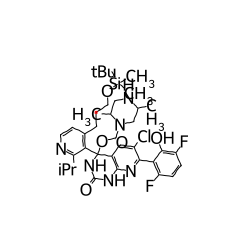 CC1CN(C(=O)OC2(c3c(CCCO[Si](C)(C)C(C)(C)C)ccnc3C(C)C)NC(=O)Nc3nc(-c4c(F)ccc(F)c4O)c(Cl)cc32)C(C)CN1